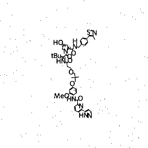 COc1cc(OCC(C)(C)COCCC(=O)N[C@H](C(=O)N2C[C@H](O)C[C@H]2C(=O)NCc2ccc(-c3scnc3C)cc2)C(C)(C)C)ccc1NC(=O)c1cccc(-c2ccn[nH]2)n1